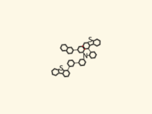 c1cc(-c2cccc(N(c3cccc(-c4ccc5ccccc5c4)c3)c3ccccc3-c3cccc4sc5ccccc5c34)c2)cc(-c2cccc3c2sc2ccccc23)c1